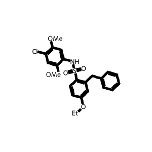 CCOc1ccc(S(=O)(=O)Nc2cc(OC)c(Cl)cc2OC)c(Cc2ccccc2)c1